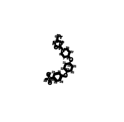 CC(C)c1noc(N2CCC(O[C@H]3CC[C@H](Oc4ccc(S(C)(=O)=O)cc4)CC3)CC2)n1